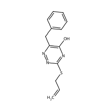 C=CCSc1nnc(Cc2ccccc2)c(O)n1